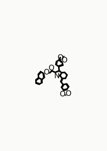 O=C(COc1ccc2ccccc2c1)C1N=C2/C(=C/c3ccc4c(c3)OCO4)CCCC2C1c1ccc2c(c1)OCO2